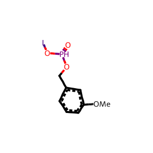 COc1cccc(CO[PH](=O)OI)c1